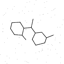 CC1CCCC(C(C)C2CCCCC2C)C1